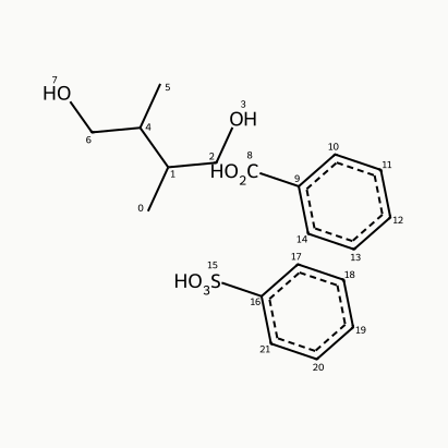 CC(CO)C(C)CO.O=C(O)c1ccccc1.O=S(=O)(O)c1ccccc1